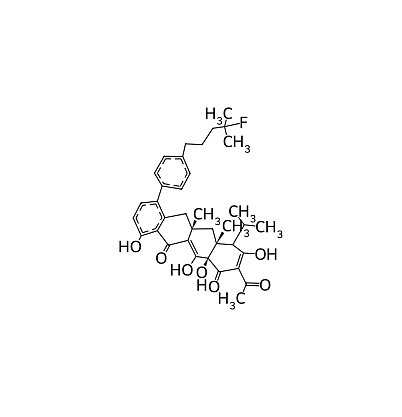 CC(=O)C1=C(O)C(C(C)C)[C@@]2(C)C[C@@]3(C)Cc4c(-c5ccc(CCCC(C)(C)F)cc5)ccc(O)c4C(=O)C3=C(O)[C@@]2(O)C1=O